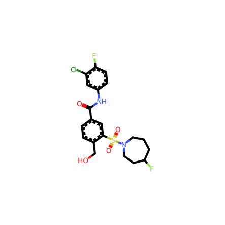 O=C(Nc1ccc(F)c(Cl)c1)c1ccc(CO)c(S(=O)(=O)N2CCCC(F)CC2)c1